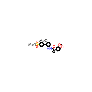 CNS(=O)(=O)c1ccc(-c2cc(NC(=O)C3(c4ccc5c(c4)OCO5)CC3)ccc2OC)cc1